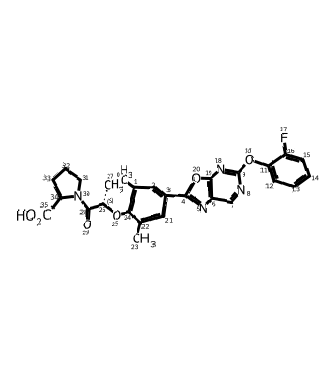 Cc1cc(-c2nc3cnc(Oc4ccccc4F)nc3o2)cc(C)c1O[C@@H](C)C(=O)N1CCCC1C(=O)O